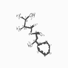 C[C@@H](O)[C@H](N)C(=O)[N]C(=O)C(O)c1ccccc1